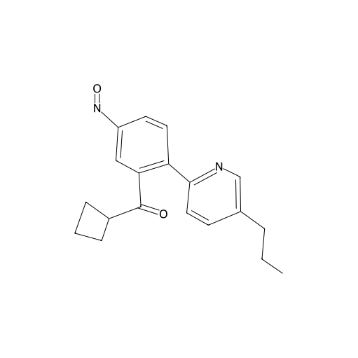 CCCc1ccc(-c2ccc(N=O)cc2C(=O)C2CCC2)nc1